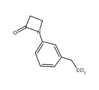 O=C1CCN1c1cccc(CC(Cl)(Cl)Cl)c1